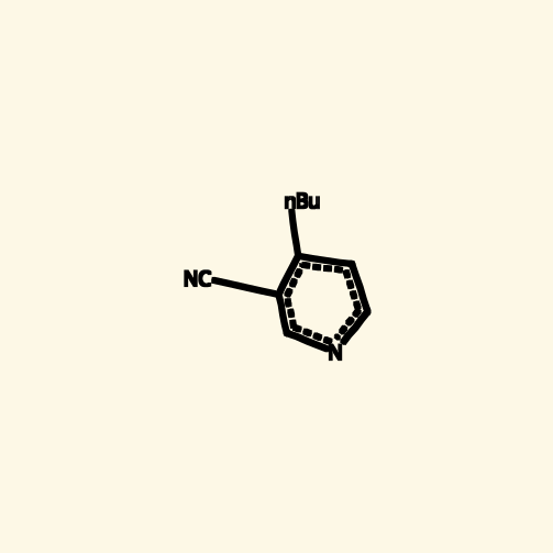 CCCCc1ccncc1C#N